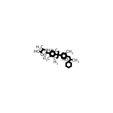 CCC(CC)(c1ccc(CC(C)C2(O)CCCCC2)c(C)c1)c1ccc(C(=O)NC(C)C(=O)O)c(C)c1